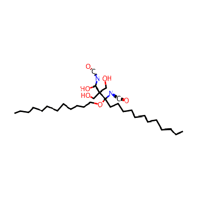 CCCCCCCCCCCCOC(CCCCCCCCCCCC)(N=C=O)C(CO)(CO)C(O)N=C=O